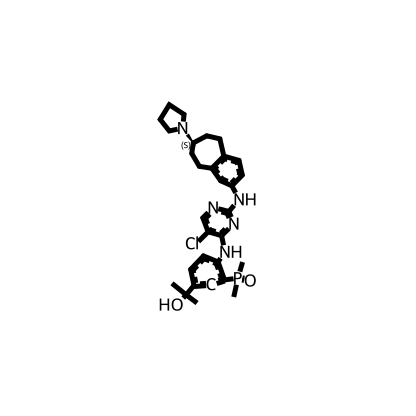 CC(C)(O)c1ccc(Nc2nc(Nc3ccc4c(c3)CC[C@@H](N3CCCC3)CC4)ncc2Cl)c(P(C)(C)=O)c1